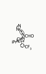 CC(C)N(C)CC1(c2cccc(C(F)(F)F)c2)CCN(C(C=O)N2CCN(c3cnccn3)CC2)CC1